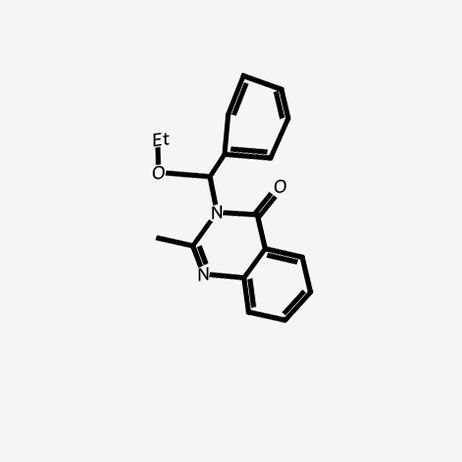 CCOC(c1ccccc1)n1c(C)nc2ccccc2c1=O